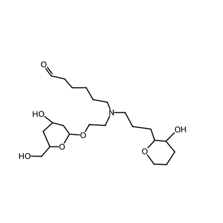 O=CCCCCCN(CCCC1OCCCC1O)CCOC1CC(O)CC(CO)O1